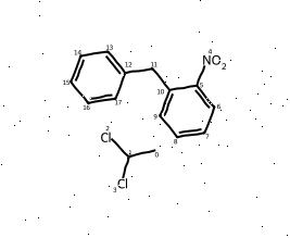 CC(Cl)Cl.O=[N+]([O-])c1ccccc1Cc1ccccc1